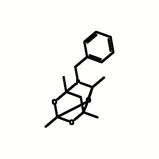 CC12CC3(C)OC(C)(CC(C)(O1)P3Cc1ccccc1)O2